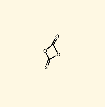 O=C1OC(=S)O1